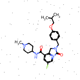 CC(C)COc1ccc(CN2Cc3c(C(=O)NC4CCN(C)CC4)cc(F)c[n+]3C2=O)cc1